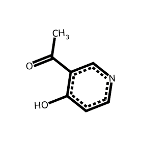 CC(=O)c1cnccc1O